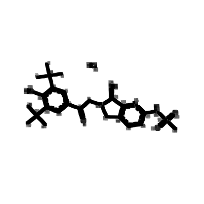 CC(C)(C)c1cc(C(=O)CN2Cc3ccc(NS(C)(=O)=O)nc3C2=N)cc(C(C)(C)C)c1O.Cl